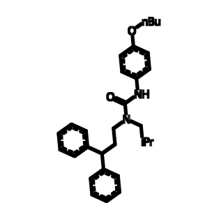 CCCCOc1ccc(NC(=O)N(CCC(c2ccccc2)c2ccccc2)CC(C)C)cc1